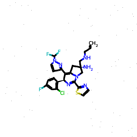 C=CCNC[C@]1(N)CC2=C(c3ccn(C(F)F)n3)[C@H](c3ccc(F)cc3Cl)N=C(c3nccs3)N2C1